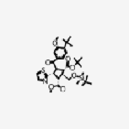 COC(=O)[C@H]1[C@H](CO[Si](C)(C)C(C)(C)C)[C@@H](C(=O)OC(C)(C)C)C(C(=O)c2ccc(C(C)(C)C)c(OC)c2)[C@H]1c1nccs1